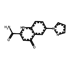 NC(=O)c1cc(=O)c2cc(-n3cccn3)ccc2[nH]1